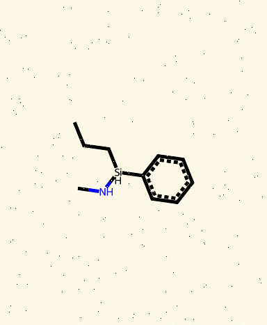 CCC[SiH](NC)c1ccccc1